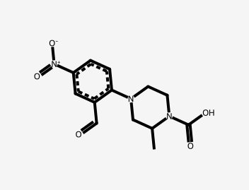 CC1CN(c2ccc([N+](=O)[O-])cc2C=O)CCN1C(=O)O